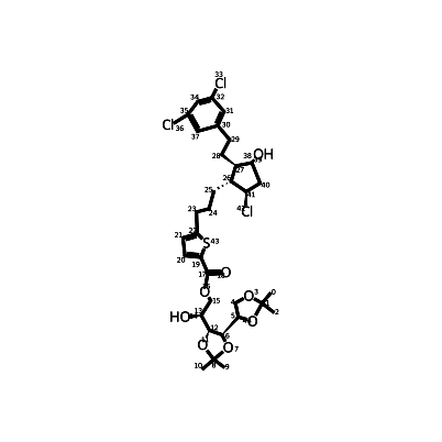 CC1(C)OCC([C@H]2OC(C)(C)O[C@@H]2[C@@H](O)COC(=O)c2ccc(CCC[C@@H]3[C@@H](CCc4cc(Cl)cc(Cl)c4)[C@H](O)C[C@H]3Cl)s2)O1